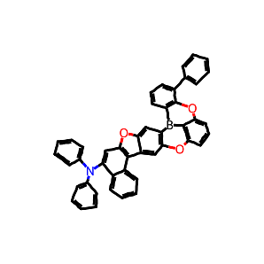 c1ccc(-c2cccc3c2Oc2cccc4c2B3c2cc3oc5cc(N(c6ccccc6)c6ccccc6)c6ccccc6c5c3cc2O4)cc1